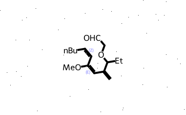 C=C(/C=C(\C=C/CCCC)OC)C(CC)OCC=O